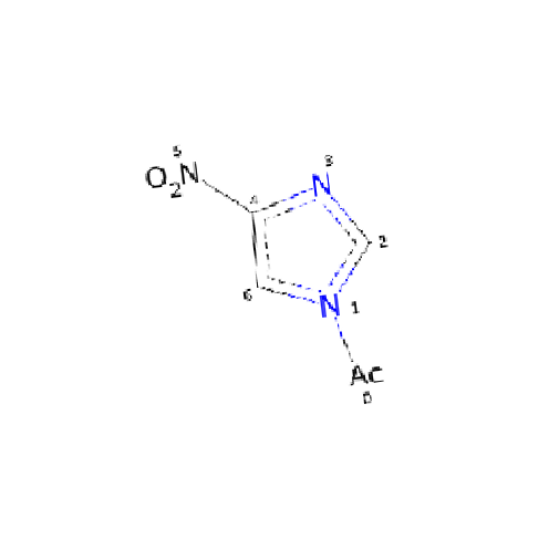 CC(=O)n1cnc([N+](=O)[O-])c1